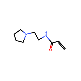 [CH]=CC(=O)NCCN1CCCC1